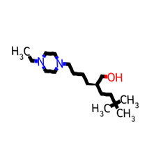 CCN1CCN(CCCC[C@@H](CO)CCC(C)(C)C)CC1